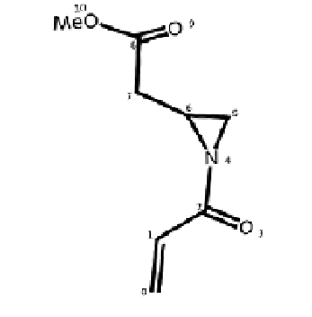 C=CC(=O)N1CC1CC(=O)OC